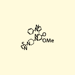 COc1cn(C2CCN(c3nccs3)CC2)nc(-c2ccnn2-c2ccccc2)c1=O